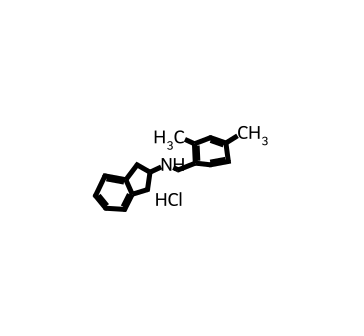 Cc1ccc(CNC2Cc3ccccc3C2)c(C)c1.Cl